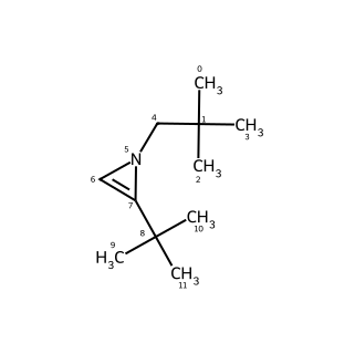 CC(C)(C)CN1C=C1C(C)(C)C